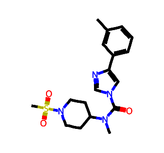 Cc1cccc(-c2cn(C(=O)N(C)C3CCN(S(C)(=O)=O)CC3)cn2)c1